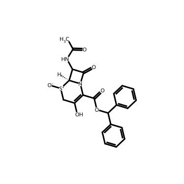 CC(=O)NC1C(=O)N2C(C(=O)OC(c3ccccc3)c3ccccc3)=C(O)C[S+]([O-])[C@@H]12